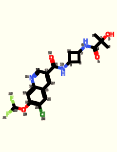 CC(C)(O)C(=O)NC1CC(NC(=O)c2cnc3cc(OC(F)F)c(Cl)cc3c2)C1